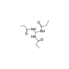 CCC(=O)N[C](NC(=O)CC)NC(=O)CC